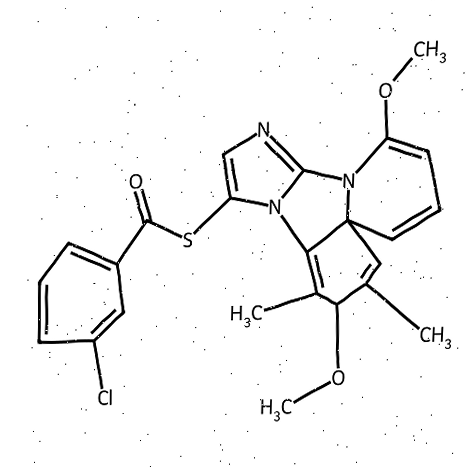 COC1=CC=CC23C=C(C)C(OC)C(C)=C2n2c(SC(=O)c4cccc(Cl)c4)cnc2N13